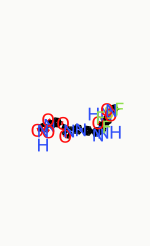 O=C1CCC(N2Cc3cc(O[C@H]4C[C@@]5(COCCN5CC5CCN(c6ccc(-c7cnc8[nH]cc(C(=O)c9c(F)ccc(NS(=O)(=O)N%10CC[C@@H](F)C%10)c9F)c8c7)cc6)CC5)C4)ccc3C2=O)C(=O)N1